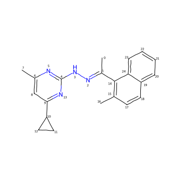 CC(=NNc1nc(C)cc(C2CC2)n1)c1c(C)ccc2ccccc12